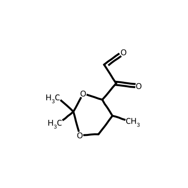 CC1COC(C)(C)OC1C(=O)C=O